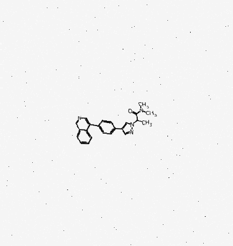 CC(C(=O)N(C)C)n1cc(-c2ccc(-c3cncc4ccccc34)cc2)cn1